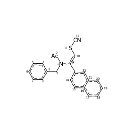 CC(=O)N(Cc1ccccc1)C(=CSC#N)c1ccc2ccccc2c1